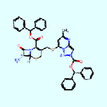 CC1=NC2=CN(C(=O)OC(c3ccccc3)c3ccccc3)NN2C(SCC2=C(C(=O)OC(c3ccccc3)c3ccccc3)N3C(=O)[C@@H](N)[C@H]3SC2)=C1